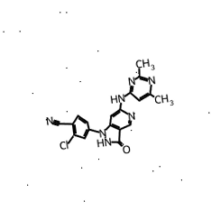 Cc1cc(Nc2cc3c(cn2)c(=O)[nH]n3-c2ccc(C#N)c(Cl)c2)nc(C)n1